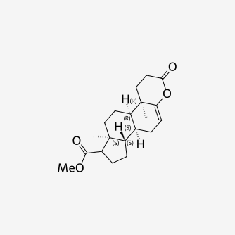 COC(=O)C1CC[C@H]2[C@@H]3CC=C4OC(=O)CC[C@]4(C)[C@@H]3CC[C@]12C